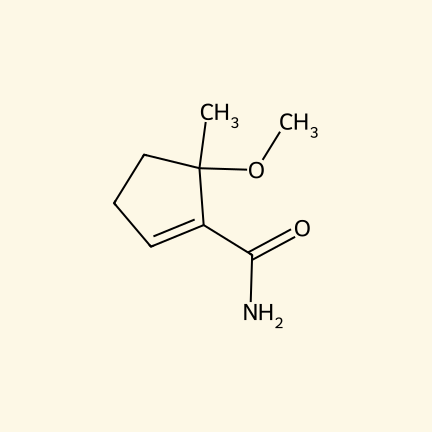 COC1(C)CCC=C1C(N)=O